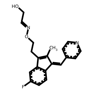 CC1=C(CCON=CCO)c2cc(F)ccc2C1=Cc1ccncc1